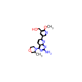 COc1ncc(-c2ccc3c(N4CCOC[C@@H]4C)nc(N)nc3n2)cc1CO